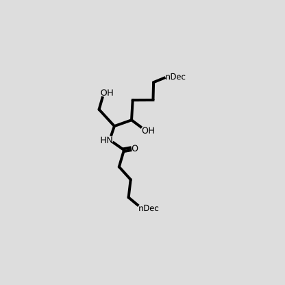 CCCCCCCCCCCCCC(=O)NC(CO)C(O)CCCCCCCCCCCCC